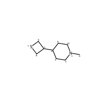 CN1CCC(C2CSC2)CC1